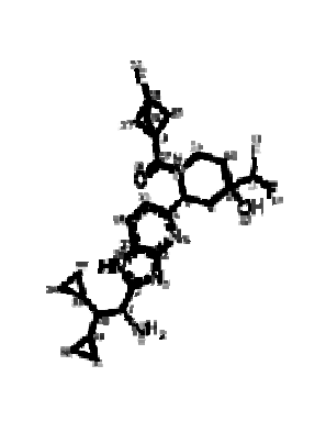 N[C@H](c1nc2nc([C@@H]3C[C@@](O)(C(F)F)CCN3C(=O)C34CC(F)(C3)C4)ccc2[nH]1)C(C1CC1)C1CC1